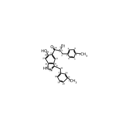 CCN(Cc1ccc(C)cc1)C(=O)c1cc2c(Cc3cccc(C)c3)n[nH]c2cc1O